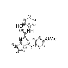 COc1ccc(Cc2cc(C(=O)N[C@H]3CCCC[C@@H]3O)nc3c2ccn3C)cc1